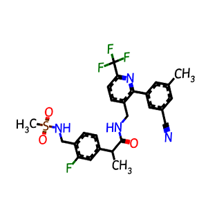 Cc1cc(C#N)cc(-c2nc(C(F)(F)F)ccc2CNC(=O)C(C)c2ccc(CNS(C)(=O)=O)c(F)c2)c1